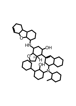 CC1CCCCC1N(C1CCCC(C2CCCCC2)C1O)C1CC(C2C(O)CC(NC3CCCC4C5CCC=CC5OC34)C3OCC[C@H]32)=CC2CCCCC21